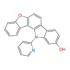 Oc1ccc2c3ccc4oc5ccccc5c4c3n(-c3ccccn3)c2c1